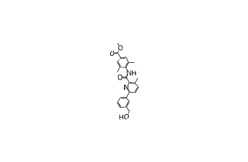 COC(=O)c1cc(C)c(NC(=O)c2nc(-c3cccc(CO)c3)ccc2C)c(C)c1